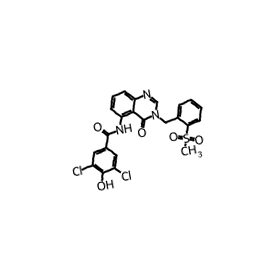 CS(=O)(=O)c1ccccc1Cn1cnc2cccc(NC(=O)c3cc(Cl)c(O)c(Cl)c3)c2c1=O